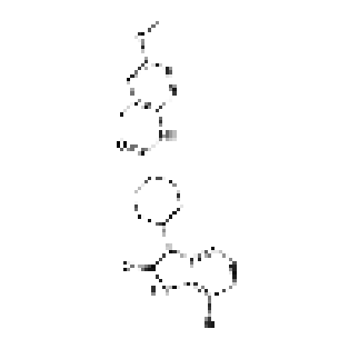 COc1ccc(NC(=O)[C@H]2CC[C@@H](n3c(=O)[nH]c4c(Br)cccc43)CC2)c(F)c1